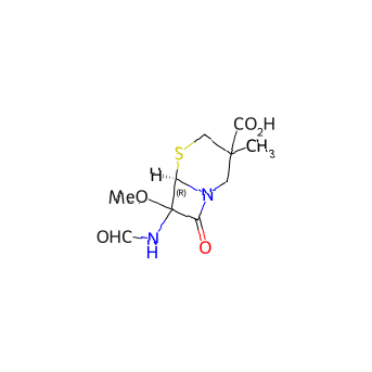 COC1(NC=O)C(=O)N2CC(C)(C(=O)O)CS[C@@H]21